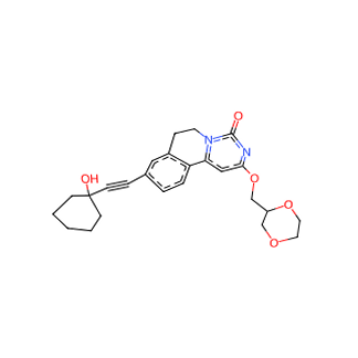 O=c1nc(OCC2COCCO2)cc2n1CCc1cc(C#CC3(O)CCCCC3)ccc1-2